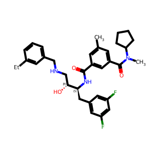 CCc1cccc(CNC[C@@H](O)[C@H](Cc2cc(F)cc(F)c2)NC(=O)c2cc(C)cc(C(=O)N(C)C3CCCC3)c2)c1